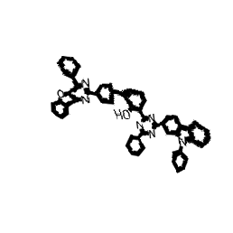 Oc1c(-c2ccc(-c3nc(-c4ccccc4)c4oc5ccccc5c4n3)cc2)cccc1-c1nc(-c2ccccc2)nc(-c2ccc3c4ccccc4n(-c4ccccc4)c3c2)n1